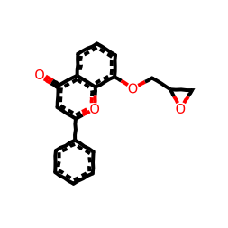 O=c1cc(-c2ccccc2)oc2c(OCC3CO3)cccc12